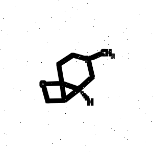 CN1CCC23OCC2[C@@H]3C1